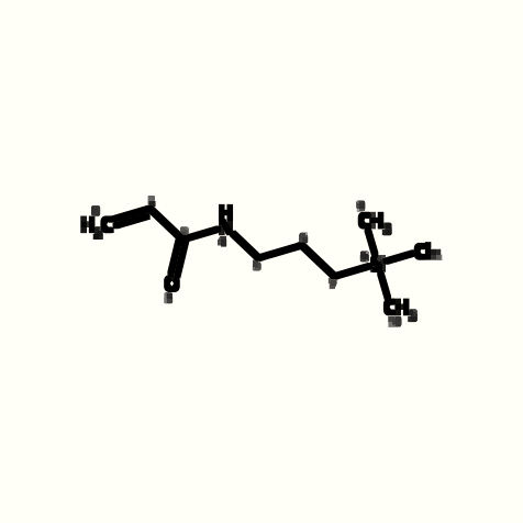 C=CC(=O)NCCC[Si](C)(C)Cl